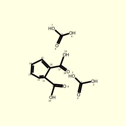 O=C(O)O.O=C(O)O.O=C(O)c1ccccc1C(=O)O